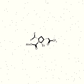 CC[C@H]1[C@@H](CC(=O)C(F)(F)F)C[C@@H](C(F)F)N1C(=O)OC